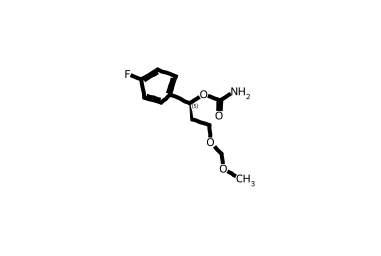 COCOCC[C@H](OC(N)=O)c1ccc(F)cc1